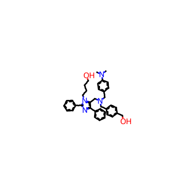 CN(C)c1ccc(CN(Cc2ccc(CO)cc2)Cc2c(-c3ccccc3)nc(-c3ccccc3)n2CCCCO)cc1